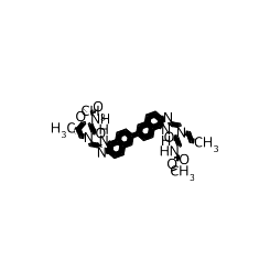 CCCN(Cc1nc2ccc3cc(-c4ccc5c(ccc6nc(CN(C[C@@H](C)COC)C(=O)CNC=O)[nH]c65)c4)ccc3c2[nH]1)C(=O)CNC(=O)OC